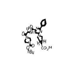 CCCCOC(=O)N1CCN(C(=O)[C@H](CCC)NC(=O)c2cc(N3C[C@@H]4[C@H](C3)[C@@H]4C(=O)O)nc(-c3ccccc3)n2)CC1